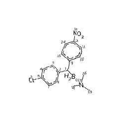 BC(c1ccc(CC)cc1)c1ccc([N+](=O)[O-])cc1.CN(C)C